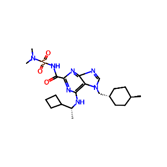 C[C@@H](Nc1nc(C(=O)NS(=O)(=O)N(C)C)nc2ncn(C[C@H]3CC[C@H](C)CC3)c12)C1CCC1